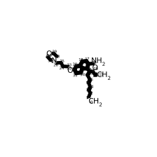 C=CCC=CC=CC=C(CC=C)c1c(C(N)=O)ccc2cc(OCCCCN3CCOCC3)ccc12